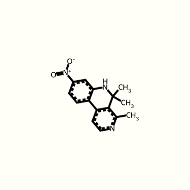 Cc1nccc2c1C(C)(C)Nc1cc([N+](=O)[O-])ccc1-2